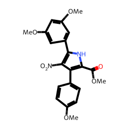 COC(=O)c1[nH]c(-c2cc(OC)cc(OC)c2)c([N+](=O)[O-])c1-c1ccc(OC)cc1